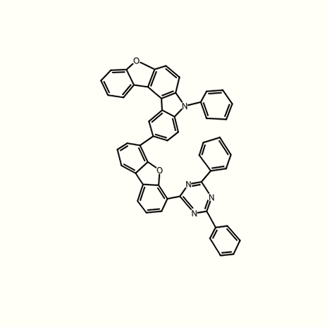 c1ccc(-c2nc(-c3ccccc3)nc(-c3cccc4c3oc3c(-c5ccc6c(c5)c5c7c(ccc5n6-c5ccccc5)oc5ccccc57)cccc34)n2)cc1